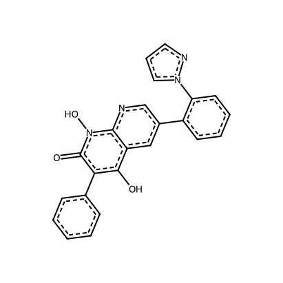 O=c1c(-c2ccccc2)c(O)c2cc(-c3ccccc3-n3cccn3)cnc2n1O